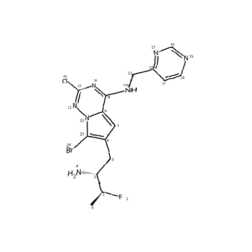 C[C@H](F)[C@H](N)Cc1cc2c(NCc3ccncn3)nc(Cl)nn2c1Br